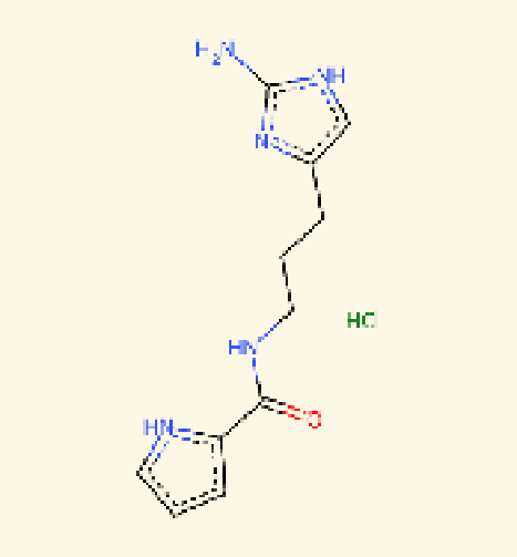 Cl.Nc1nc(CCCNC(=O)c2ccc[nH]2)c[nH]1